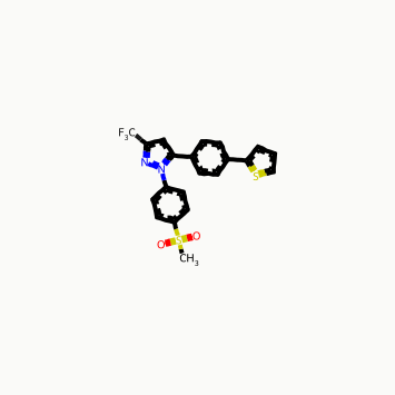 CS(=O)(=O)c1ccc(-n2nc(C(F)(F)F)cc2-c2ccc(-c3cccs3)cc2)cc1